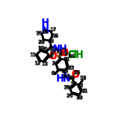 Cc1cc(S(=O)(=O)NC(c2ccccc2)C2CCNCC2)ccc1NC(=O)c1ccccc1C.Cl